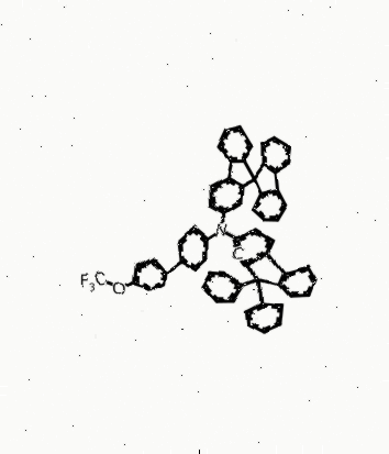 FC(F)(F)Oc1ccc(-c2ccc(N(c3ccc4c(c3)C(c3ccccc3)(c3ccccc3)c3ccccc3-4)c3ccc4c(c3)C3(c5ccccc5-c5ccccc53)c3ccccc3-4)cc2)cc1